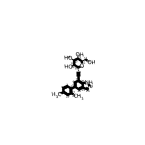 Cc1ccc(-c2cc(C#C[C@H]3O[C@H](CO)[C@@H](O)[C@H](O)[C@@H]3O)c3[nH]ncc3c2)c(C)c1